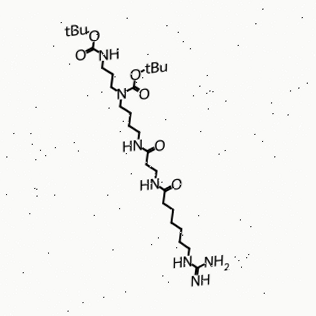 CC(C)(C)OC(=O)NCCCN(CCCCNC(=O)CCNC(=O)CCCCCCNC(=N)N)C(=O)OC(C)(C)C